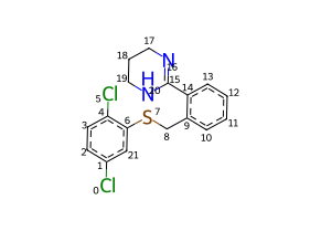 Clc1ccc(Cl)c(SCc2ccccc2C2=NCCCN2)c1